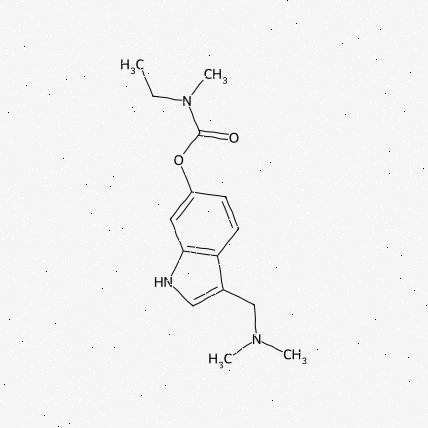 CCN(C)C(=O)Oc1ccc2c(CN(C)C)c[nH]c2c1